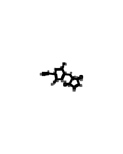 N#Cc1cc(F)c(CN2C(=O)C=NC2=O)cc1F